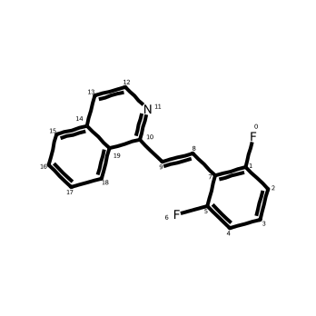 Fc1cccc(F)c1/C=C/c1nccc2ccccc12